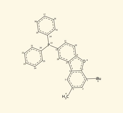 CCC(C)c1cc(C)cc2c1oc1ccc(P(c3ccccc3)c3ccccc3)cc12